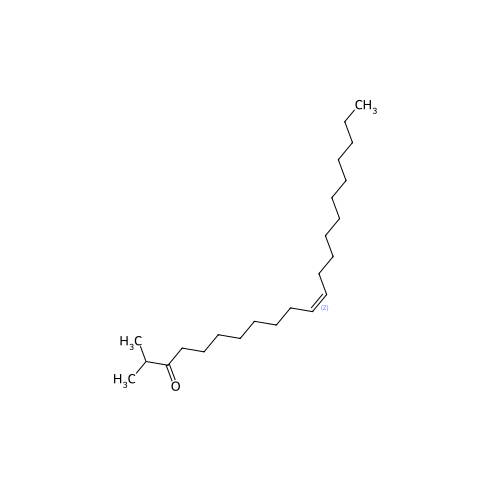 CCCCCCCCCC/C=C\CCCCCCCC(=O)C(C)C